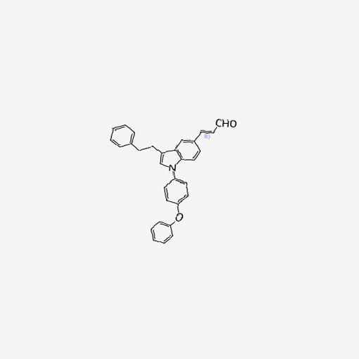 O=C/C=C/c1ccc2c(c1)c(CCc1ccccc1)cn2-c1ccc(Oc2ccccc2)cc1